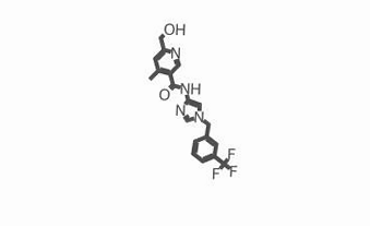 Cc1cc(CO)ncc1C(=O)Nc1cn(Cc2cccc(C(F)(F)F)c2)cn1